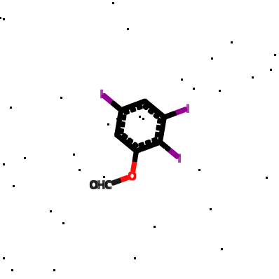 O=COc1cc(I)cc(I)c1I